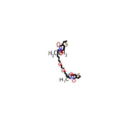 CC(C)(CCCCOCCCOCCCCC(C)(C)CN1C(=O)C=C2SCCC2C1=O)CN1C(=O)C=C2SCCC2C1=O